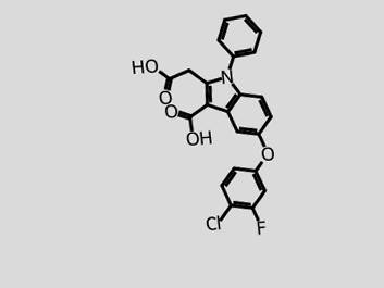 O=C(O)Cc1c(C(=O)O)c2cc(Oc3ccc(Cl)c(F)c3)ccc2n1-c1ccccc1